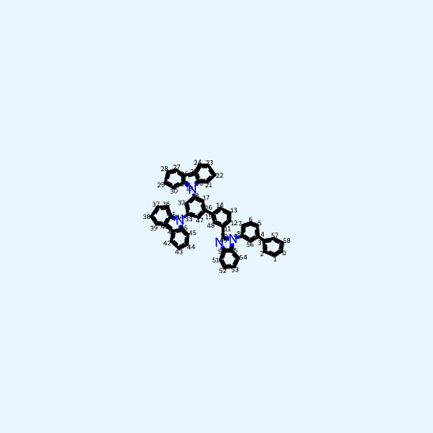 c1ccc(-c2cccc(-n3c(-c4cccc(-c5cc(-n6c7ccccc7c7ccccc76)cc(-n6c7ccccc7c7ccccc76)c5)c4)nc4ccccc43)c2)cc1